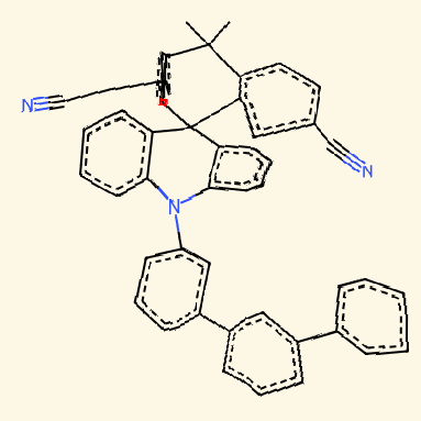 CC1(C)c2ccc(C#N)cc2C2(c3ccccc3N(c3cccc(-c4cccc(-c5ccccc5)c4)c3)c3ccccc32)c2cc(C#N)ccc21